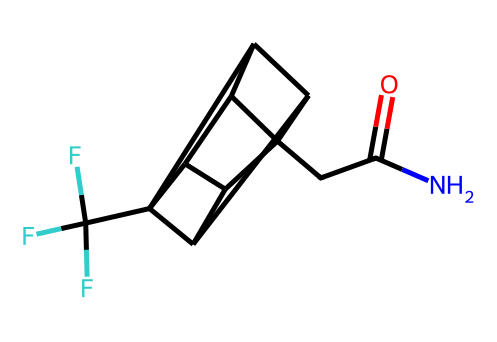 NC(=O)CC12C3C4C1C1C2C3C41C(F)(F)F